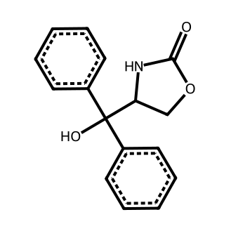 O=C1NC(C(O)(c2ccccc2)c2ccccc2)CO1